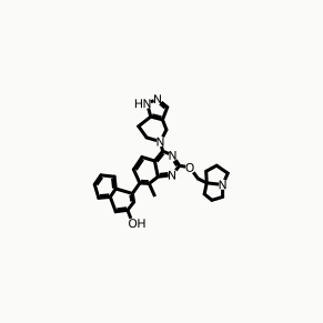 Cc1c(-c2cc(O)cc3ccccc23)ccc2c(N3CCc4[nH]ncc4C3)nc(OCC34CCCN3CCC4)nc12